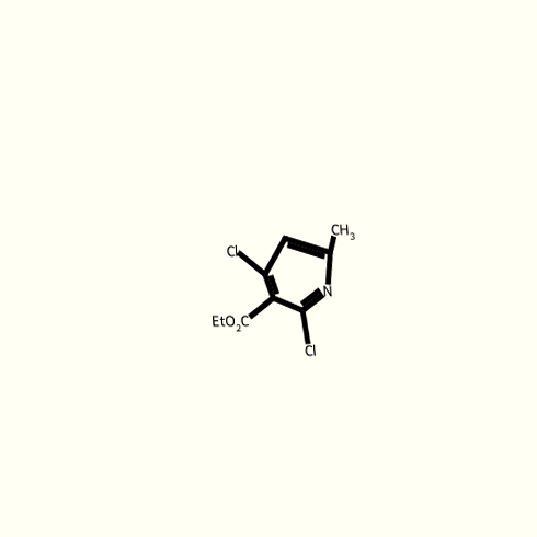 CCOC(=O)c1c(Cl)cc(C)nc1Cl